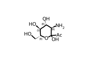 CC(=O)C1(O)O[C@H](CO)[C@@H](O)[C@H](O)[C@H]1N